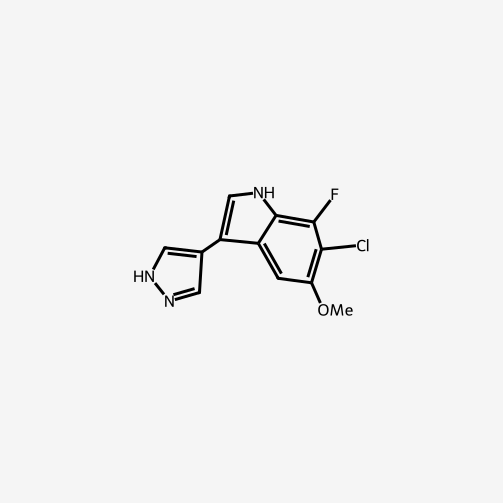 COc1cc2c(-c3cn[nH]c3)c[nH]c2c(F)c1Cl